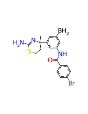 Bc1cc(NC(=O)c2ccc(Br)cc2)cc(C2(C)CCSC(N)=N2)c1